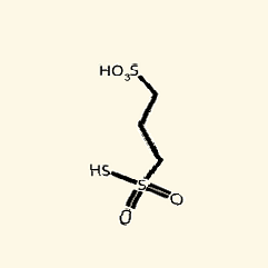 O=S(=O)(O)CCCS(=O)(=O)S